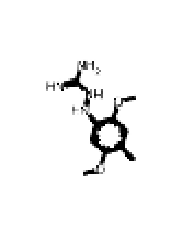 COc1cc(NNC(=N)N)c(OC)cc1C